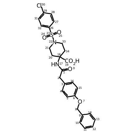 O=C(Cc1ccc(OCc2ccccc2)cc1)NC1(C(=O)O)CCN(S(=O)(=O)c2ccc(Cl)cc2)CC1